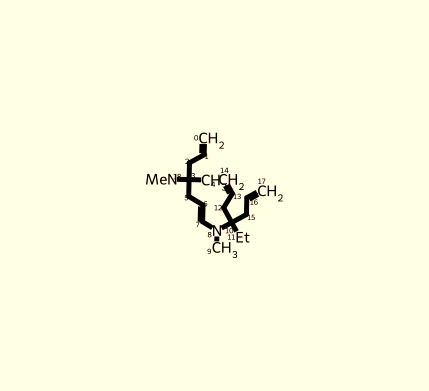 C=CCC(C)(C/C=C/N(C)C(CC)(CC=C)CC=C)NC